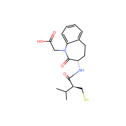 CC(C)[C@H](CS)C(=O)N[C@H]1CCc2ccccc2N(CC(=O)O)C1=O